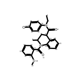 CCN(C(=O)C1CC(C)N(C(=O)c2ccccc2OC)c2ccccc21)c1ccc(Cl)cc1